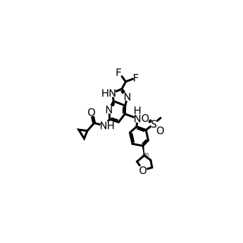 CS(=O)(=O)c1cc([C@H]2CCOC2)ccc1Nc1cc(NC(=O)C2CC2)nc2[nH]c(C(F)F)nc12